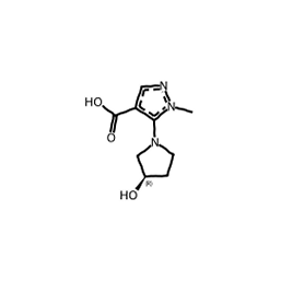 Cn1ncc(C(=O)O)c1N1CC[C@@H](O)C1